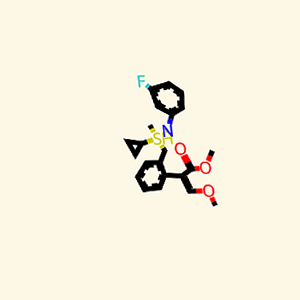 COC=C(C(=O)OC)c1ccccc1C[SH](C)(=Nc1cccc(F)c1)C1CC1